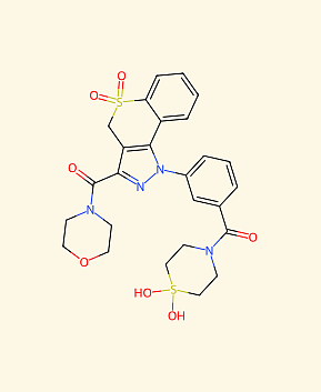 O=C(c1cccc(-n2nc(C(=O)N3CCOCC3)c3c2-c2ccccc2S(=O)(=O)C3)c1)N1CCS(O)(O)CC1